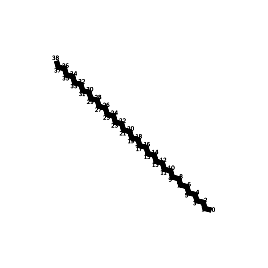 CCCCCCCCCCCCCCCCC[CH]CCCCCCCCCCCCCCCCCCCCC